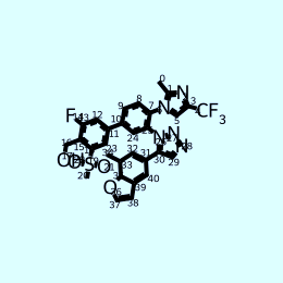 Cc1nc(C(F)(F)F)cn1-c1ccc(-c2cc(F)c(CO)c(S(C)(=O)=O)c2)cc1-n1nncc1C1=CC(C)C2OC=CC2=C1